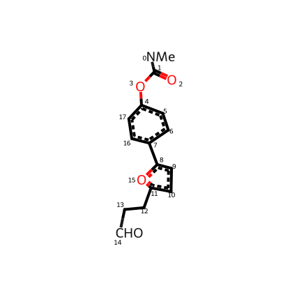 CNC(=O)Oc1ccc(-c2ccc(CCC=O)o2)cc1